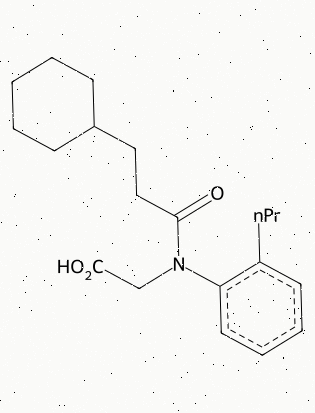 [CH2]CCc1ccccc1N(CC(=O)O)C(=O)CCC1CCCCC1